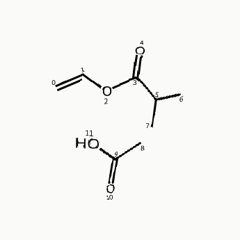 C=COC(=O)C(C)C.CC(=O)O